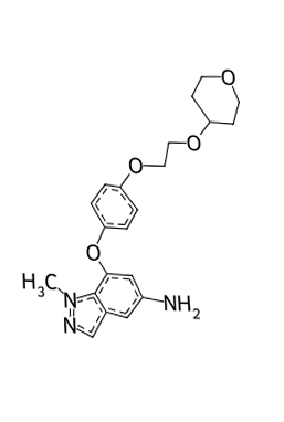 Cn1ncc2cc(N)cc(Oc3ccc(OCCOC4CCOCC4)cc3)c21